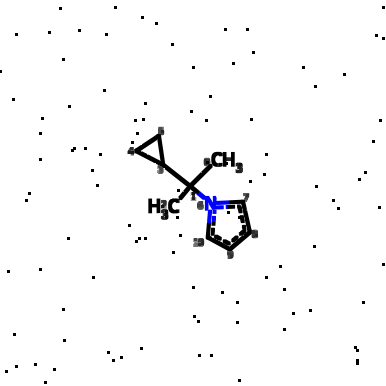 CC(C)(C1CC1)n1cccc1